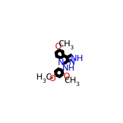 COc1ccc(Nc2nc3ccc(OC)cc3c3c[nH]nc23)c(OC)c1